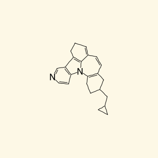 C1=CC2=C(CCC(CC3CC3)C2)n2c3c(c4cnccc42)CCC=C13